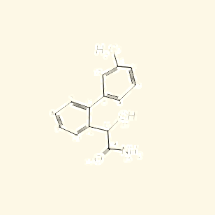 Cc1cccc(-c2ccccc2C(O)C(N)=O)c1